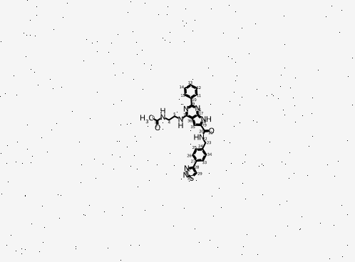 CC(=O)NCCNc1nc(-c2ccccc2)nc2[nH]c(C(=O)NCc3ccc(-c4csnn4)cc3)cc12